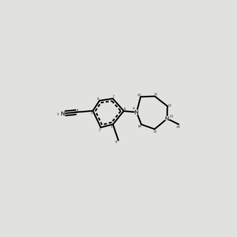 Cc1cc(C#N)ccc1N1CCCN(C)CC1